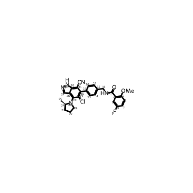 COc1ccc(F)cc1C(=O)NCc1ccc(-c2c(Cl)c(N3CCC[C@H]3C)c3cn[nH]c3c2C#N)cc1